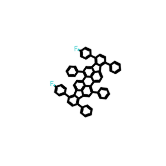 Fc1ccc(-c2ccc(-c3ccccc3)c3c2-c2ccc4c5c(-c6ccccc6)cc6c7c(ccc(c8c(-c9ccccc9)cc-3c2c48)c75)-c2c(-c3ccccc3)ccc(-c3ccc(F)cc3)c2-6)cc1